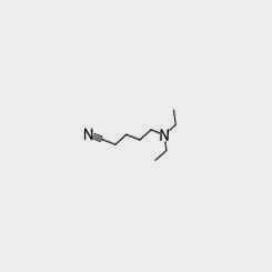 CCN(CC)CCCCC#N